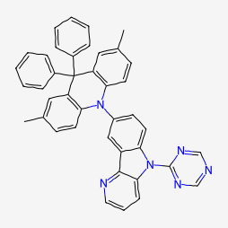 Cc1ccc2c(c1)C(c1ccccc1)(c1ccccc1)c1cc(C)ccc1N2c1ccc2c(c1)c1ncccc1n2-c1ncncn1